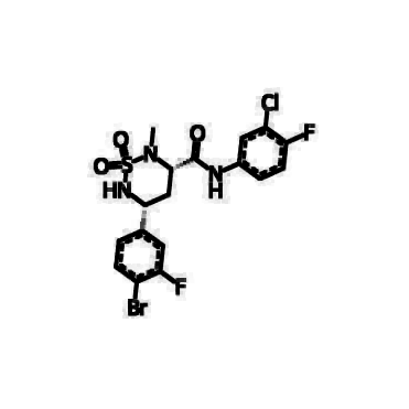 CN1[C@H](C(=O)Nc2ccc(F)c(Cl)c2)C[C@H](c2ccc(Br)c(F)c2)NS1(=O)=O